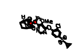 COc1c(Oc2ccc(S(=O)(=O)C3CC3)cc2Cl)ncnc1OC1CC2CC[C@@H](C1)N2S(=O)(=O)CC(C)C